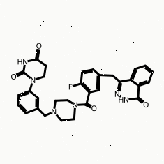 O=C1CCN(c2cccc(CN3CCN(C(=O)c4cc(Cc5n[nH]c(=O)c6ccccc56)ccc4F)CC3)c2)C(=O)N1